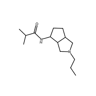 CCCN1CC2CCC(NC(=O)C(C)C)C2C1